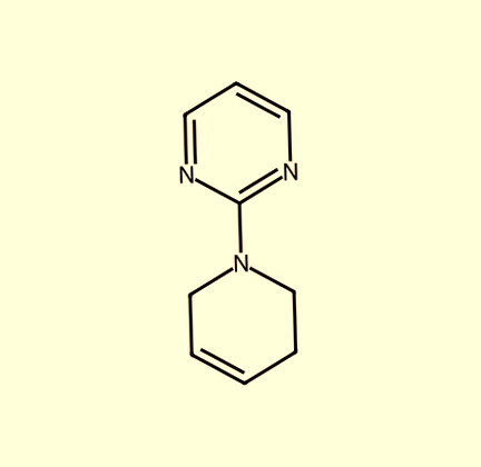 C1=CCN(c2ncccn2)CC1